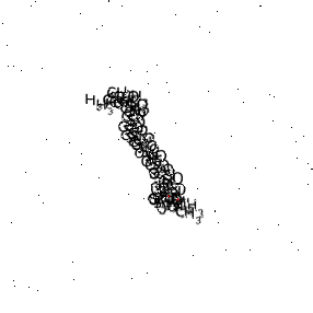 C[SiH]([Si](=O)[Si](=O)[Si](=O)[Si](=O)[Si](=O)[Si](=O)[Si](=O)[Si](=O)[Si](=O)[Si](=O)[Si](=O)[Si](=O)[Si](=O)[Si](=O)[Si](=O)[Si](=O)[Si](=O)[Si](=O)[Si](=O)[Si](=O)[Si](=O)[Si](=O)[Si](=O)[Si](=O)[Si](=O)[Si](=O)[Si](=O)[Si](=O)[Si](=O)[Si](=O)[Si](=O)[Si](=O)[SiH2]O[Si](C)(C)C)C(C)(C)O[Si](C)(C)C